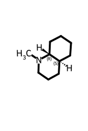 CN1CCC[C@@H]2CCCC[C@H]21